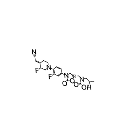 CC(C)CN(C[C@H]1CN(c2ccc(N3CCC(=CC#N)C(F)C3)c(F)c2)C(=O)O1)C(=O)O